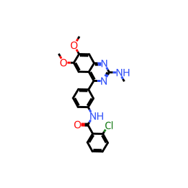 CNc1nc(-c2cccc(NC(=O)c3ccccc3Cl)c2)c2cc(OC)c(OC)cc2n1